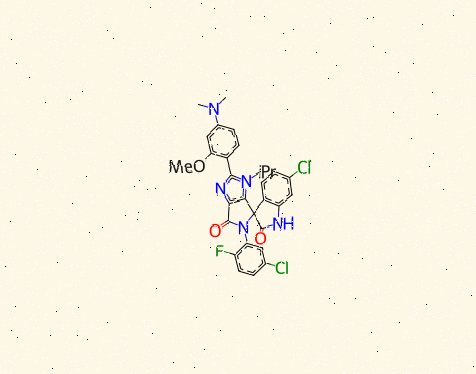 COc1cc(N(C)C)ccc1-c1nc2c(n1C(C)C)C1(C(=O)Nc3cc(Cl)ccc31)N(c1cc(Cl)ccc1F)C2=O